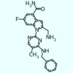 Cc1cnc(-n2c(CN)cc3c(C(N)=O)cc(F)cc32)nc1NCc1ccccc1